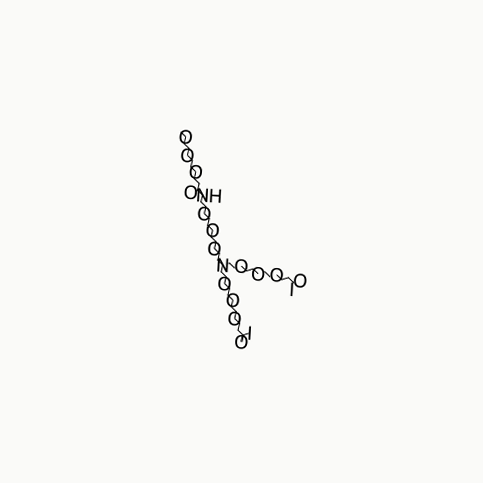 COCCOCCOCCC(=O)NCCOCCOCCOCCN(CCOCCOCCOCCC(=O)I)CCOCCOCCOCCC(=O)I